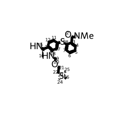 CNC(=O)c1ccccc1Sc1ccc(C(=N)I)c(NCOCC[Si](C)(C)C)c1